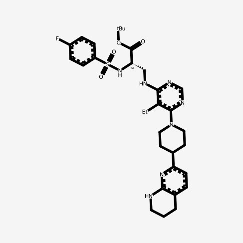 CCc1c(NC[C@H](NS(=O)(=O)c2ccc(F)cc2)C(=O)OC(C)(C)C)ncnc1N1CCC(c2ccc3c(n2)NCCC3)CC1